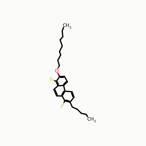 CCCCCCCCCOc1ccc2c(ccc3c(F)c(CCCCC)ccc32)c1F